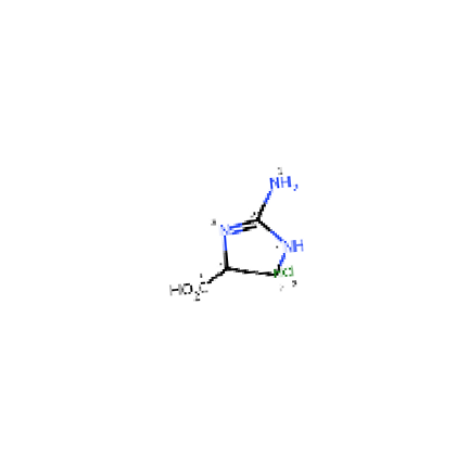 Cl.NC1=NC(C(=O)O)CN1